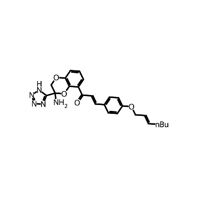 CCCC/C=C/COc1ccc(C=CC(=O)c2cccc3c2OC(N)(c2nnn[nH]2)CO3)cc1